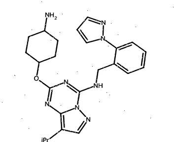 CC(C)c1cnn2c(NCc3ccccc3-n3cccn3)nc(OC3CCC(N)CC3)nc12